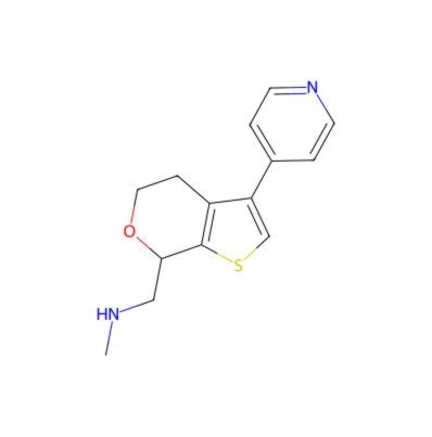 CNCC1OCCc2c(-c3ccncc3)csc21